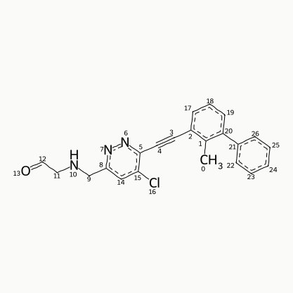 Cc1c(C#Cc2nnc(CNCC=O)cc2Cl)cccc1-c1ccccc1